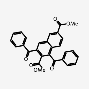 COC(=O)c1ccc2c(C(=O)c3ccccc3)c(C(=O)OC)c(C(=O)c3ccccc3)cc2c1